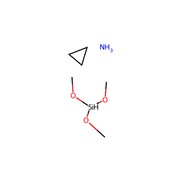 C1CC1.CO[SiH](OC)OC.N